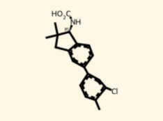 Cc1ccc(-c2ccc3c(c2)CC(C)(C)[C@H]3NC(=O)O)cc1Cl